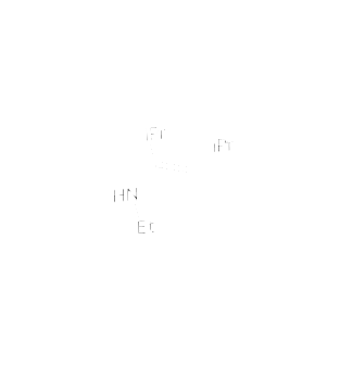 CCNC(=CC(C)C)C(C)C